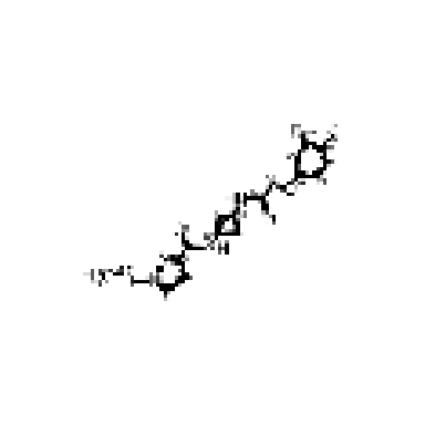 COCn1ccc(C(=O)NC23CC(NC(=O)COc4ccc(Cl)c(F)c4)(C2)C3)n1